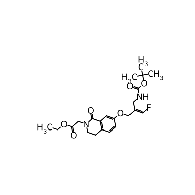 CCOC(=O)CN1CCc2ccc(OC/C(=C/F)CNC(=O)OC(C)(C)C)cc2C1=O